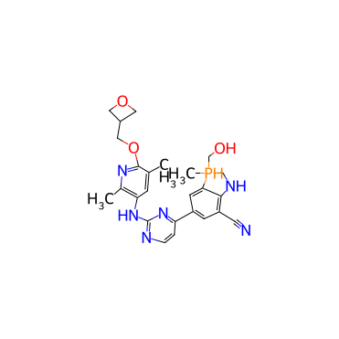 Cc1cc(Nc2nccc(-c3cc(C#N)c4c(c3)[PH](C)(CO)CN4)n2)c(C)nc1OCC1COC1